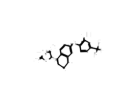 Cc1cc(C(F)(F)F)ccc1Oc1ccc2c(c1)CCC[C@H]2C1SC(=O)NC1=O